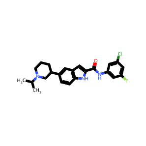 CC(C)N1CCCC(c2ccc3[nH]c(C(=O)Nc4cc(F)cc(Cl)c4)cc3c2)C1